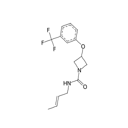 CC=CCNC(=O)N1CC(Oc2cccc(C(F)(F)F)c2)C1